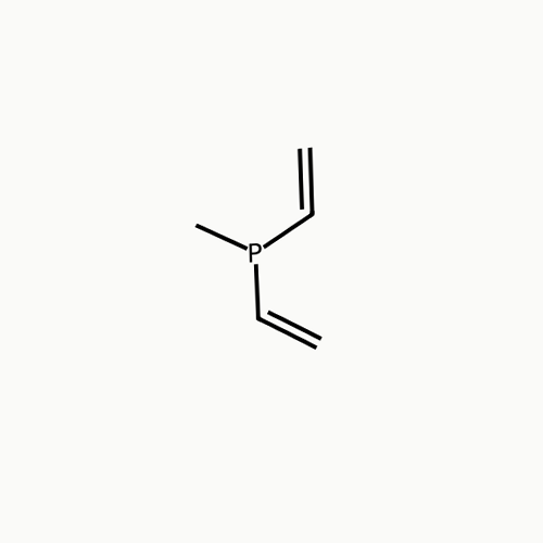 C=CP(C)C=C